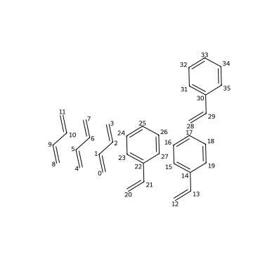 C=CC=C.C=CC=C.C=CC=C.C=Cc1ccccc1.C=Cc1ccccc1.C=Cc1ccccc1